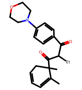 CCC(C(=O)c1ccc(N2CCOCC2)cc1)C(=O)C1(C)CC=CC=C1C